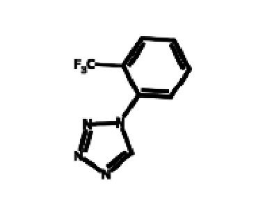 FC(F)(F)c1ccccc1-n1cnnn1